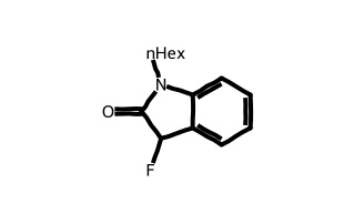 CCCCCCN1C(=O)C(F)c2ccccc21